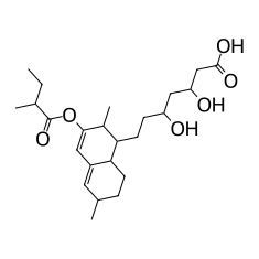 CCC(C)C(=O)OC1=CC2=CC(C)CCC2C(CCC(O)CC(O)CC(=O)O)C1C